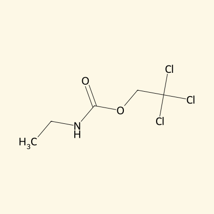 CCNC(=O)OCC(Cl)(Cl)Cl